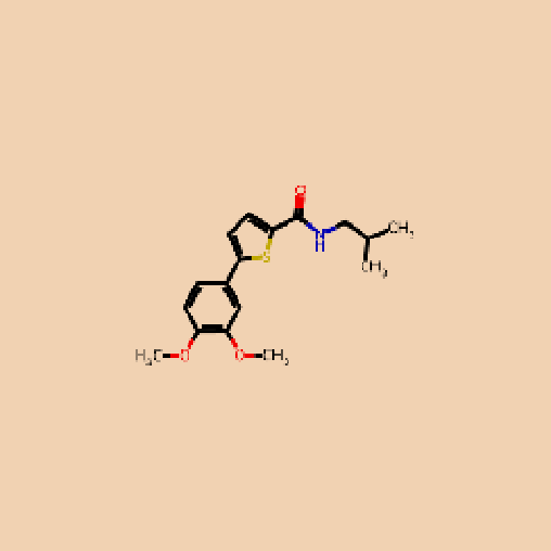 COc1ccc(-c2ccc(C(=O)NCC(C)C)s2)cc1OC